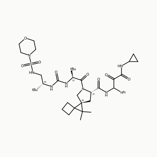 CCCC(NC(=O)[C@@H]1C[C@@]2(CN1C(=O)[C@@H](NC(=O)N[C@@H](CNS(=O)(=O)N1CCOCC1)C(C)(C)C)C(C)(C)C)C(C)(C)C21CCC1)C(=O)C(=O)NC1CC1